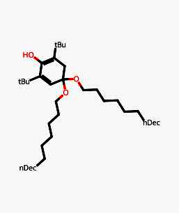 CCCCCCCCCCCCCCCCOC1(OCCCCCCCCCCCCCCCC)C=C(C(C)(C)C)C(O)=C(C(C)(C)C)C1